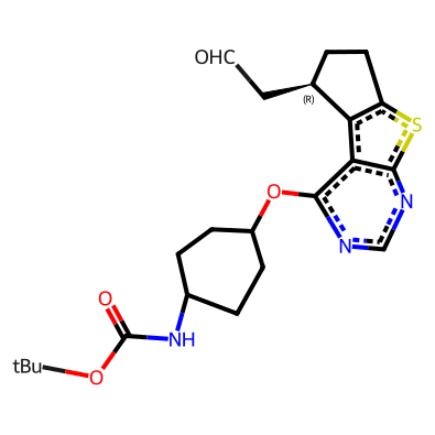 CC(C)(C)OC(=O)NC1CCC(Oc2ncnc3sc4c(c23)[C@@H](CC=O)CC4)CC1